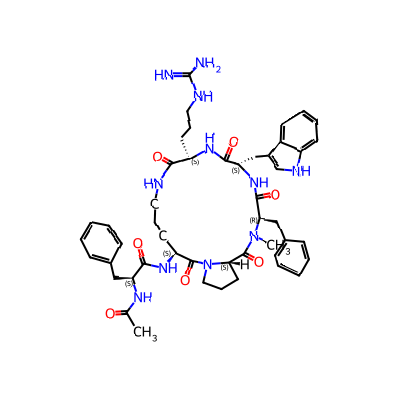 CC(=O)N[C@@H](Cc1ccccc1)C(=O)N[C@H]1CCCNC(=O)[C@H](CCCNC(=N)N)NC(=O)[C@H](Cc2c[nH]c3ccccc23)NC(=O)[C@@H](Cc2ccccc2)N(C)C(=O)[C@@H]2CCCN2C1=O